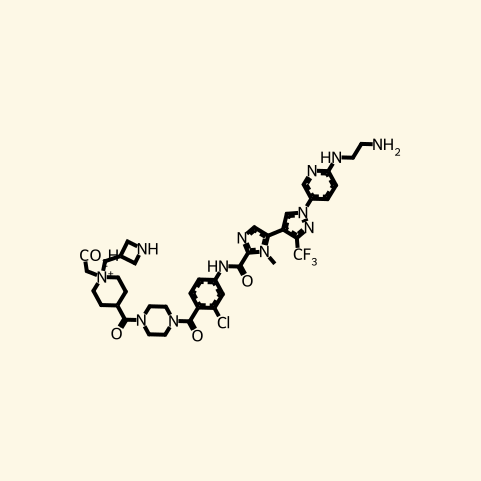 Cn1c(-c2cn(-c3ccc(NCCN)nc3)nc2C(F)(F)F)cnc1C(=O)Nc1ccc(C(=O)N2CCN(C(=O)C3CC[N+](CC(=O)O)(CC4CNC4)CC3)CC2)c(Cl)c1